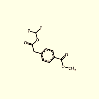 COC(=O)c1ccc(CC(=O)OC(F)F)cc1